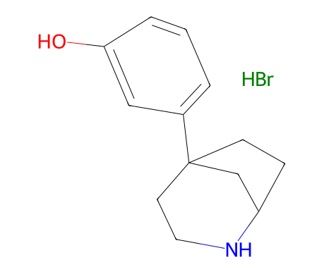 Br.Oc1cccc(C23CCNC(CC2)C3)c1